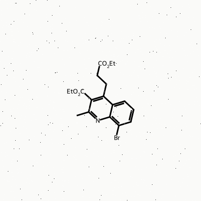 CCOC(=O)CCc1c(C(=O)OCC)c(C)nc2c(Br)cccc12